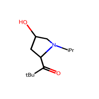 CC(C)N1CC(O)CC1C(=O)C(C)(C)C